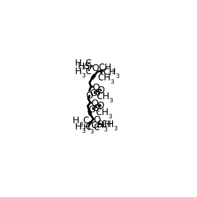 C[SiH](C)OC(C#CCC(COCC(CC#CC(O[SiH](C)C)C(C)(C)C)OS(C)(=O)=O)OS(C)(=O)=O)C(C)(C)C